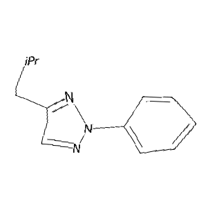 CC(C)Cc1cnn(-c2ccccc2)n1